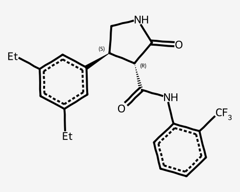 CCc1cc(CC)cc([C@H]2CNC(=O)[C@@H]2C(=O)Nc2ccccc2C(F)(F)F)c1